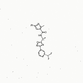 Cc1nn(C(C)C)cc1C(=O)N[C@@H](C)c1nc(-c2cccc(C(F)F)c2)no1